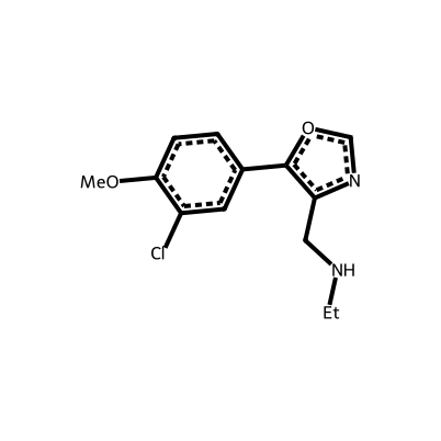 CCNCc1ncoc1-c1ccc(OC)c(Cl)c1